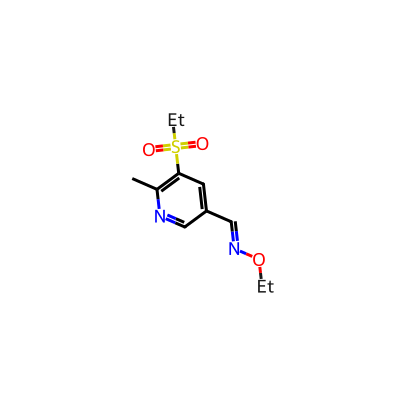 CCO/N=C/c1cnc(C)c(S(=O)(=O)CC)c1